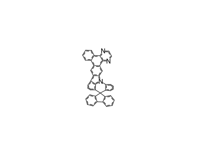 c1ccc2c(c1)-c1ccccc1C21c2ccccc2-n2c3cc4c(cc3c3cccc1c32)c1ccccc1c1nccnc41